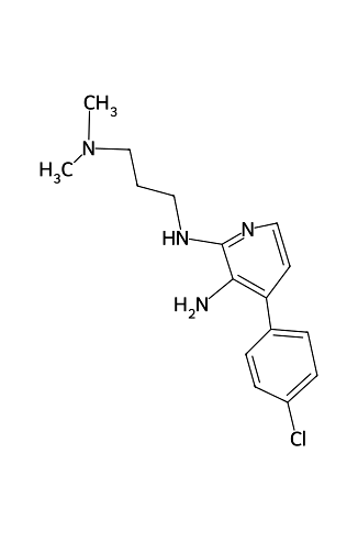 CN(C)CCCNc1nccc(-c2ccc(Cl)cc2)c1N